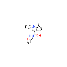 Cc1cccc2c(C(O)NCC3CC=CO3)cc(C(F)(F)F)nc12